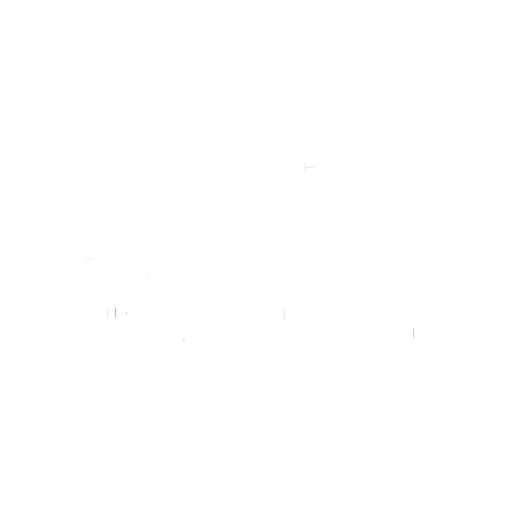 Cc1cc2c(c(C)c1CCCO)C(=O)C(C)(C)C2